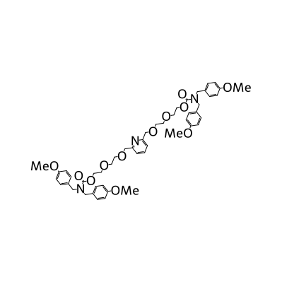 COc1ccc(CN(Cc2ccc(OC)cc2)C(=O)OCCOCCOCc2cccc(COCCOCCOC(=O)N(Cc3ccc(OC)cc3)Cc3ccc(OC)cc3)n2)cc1